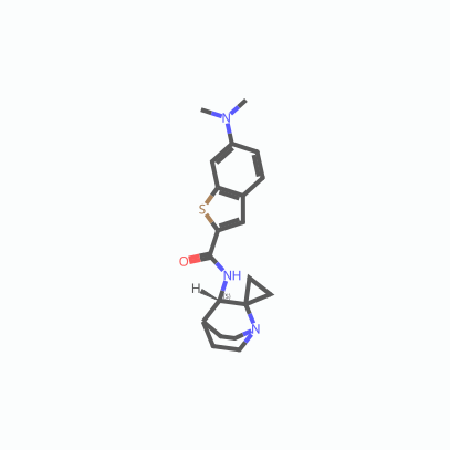 CN(C)c1ccc2cc(C(=O)N[C@H]3C4CCN(CC4)C34CC4)sc2c1